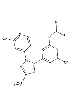 O=C(O)c1cc(-c2cc(Br)cc(OC(F)F)c2)n(-c2ccnc(Cl)c2)n1